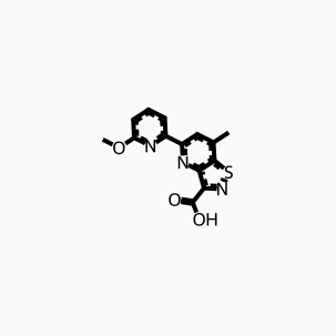 COc1cccc(-c2cc(C)c3snc(C(=O)O)c3n2)n1